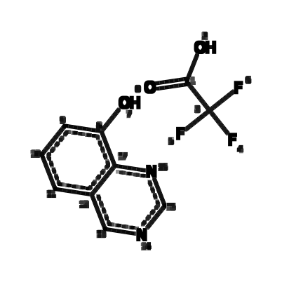 O=C(O)C(F)(F)F.Oc1cccc2cncnc12